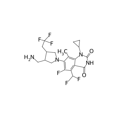 Cc1c(N2CC(CN)C(CC(F)(F)F)C2)c(F)c(C(F)F)c2c(=O)[nH]c(=O)n(C3CC3)c12